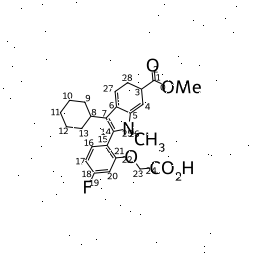 COC(=O)C1C=c2c(c(C3CCCCC3)c(-c3ccc(F)cc3OCC(=O)O)n2C)=CC1